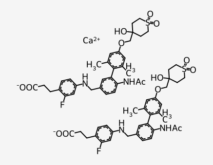 CC(=O)Nc1ccc(CNc2ccc(CCC(=O)[O-])c(F)c2)cc1-c1c(C)cc(OCC2(O)CCS(=O)(=O)CC2)cc1C.CC(=O)Nc1ccc(CNc2ccc(CCC(=O)[O-])c(F)c2)cc1-c1c(C)cc(OCC2(O)CCS(=O)(=O)CC2)cc1C.[Ca+2]